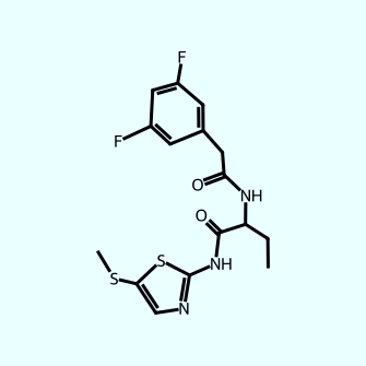 CCC(NC(=O)Cc1cc(F)cc(F)c1)C(=O)Nc1ncc(SC)s1